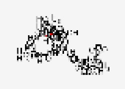 CC[C@H](C)[C@@H]1NC(=O)CNC(=O)[C@@H]2Cc3c([nH]c4ccccc34)SCC(CN[C@@H](CC(=O)NCc3ccc(NC(=O)[C@H](C)NC(=O)C(NC(=O)CCN4C(=O)C=CC4=O)C(C)C)cc3)C(=O)N3C[C@H](O)C[C@H]3C(=O)N[C@@H]([C@@H](C)[C@@H](O)CO)C(=O)N2)NC(=O)CNC1=O